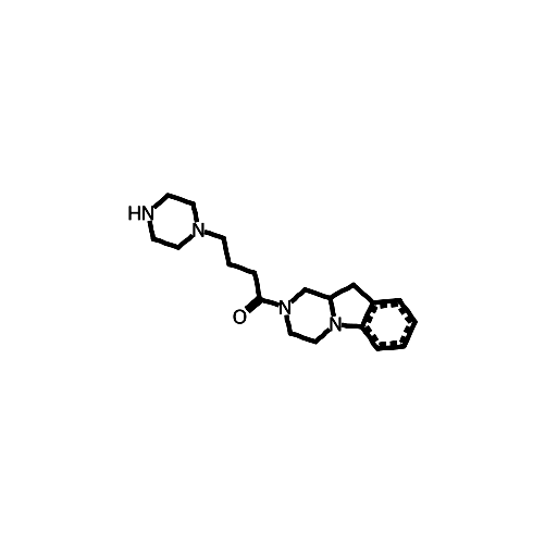 O=C(CCCN1CCNCC1)N1CCN2c3ccccc3CC2C1